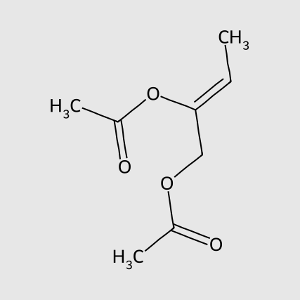 CC=C(COC(C)=O)OC(C)=O